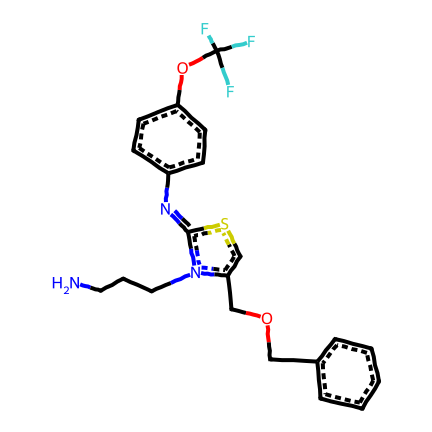 NCCCn1c(COCc2ccccc2)csc1=Nc1ccc(OC(F)(F)F)cc1